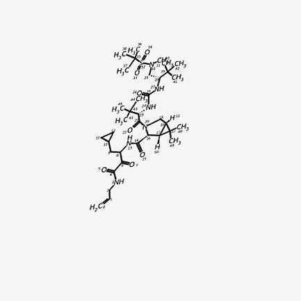 C=CCNC(=O)C(=O)C(CC1CC1)NC(=O)[C@@H]1[C@@H]2[C@H](CN1C(=O)[C@@H](NC(=O)N[C@H](CN(C)S(=O)(=O)C(C)(C)C)C(C)(C)C)C(C)(C)C)C2(C)C